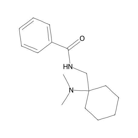 CN(C)C1(CNC(=O)c2ccccc2)CCCCC1